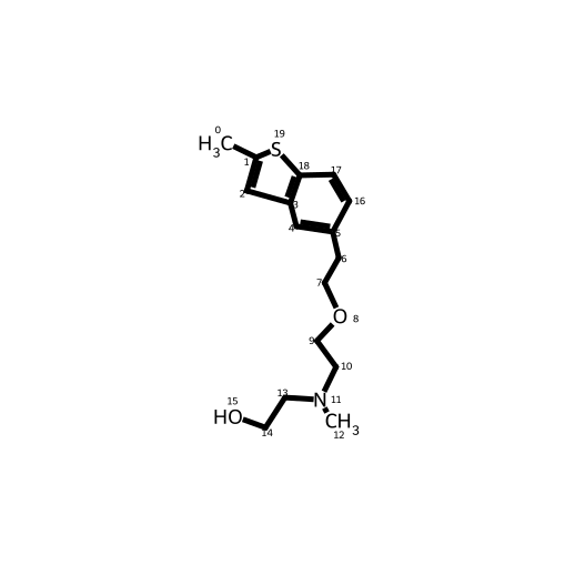 Cc1cc2cc(CCOCCN(C)CCO)ccc2s1